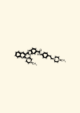 CN1CCN(CCc2ccc(NC(=O)c3ccc4nc(-c5cc6ccccc6nc5N5CCN(C)CC5)[nH]c4c3)cc2)CC1